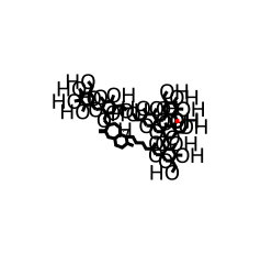 C=C1CC2CCC(C)[C@@](C)(CCCCC(=O)OC3OC(CO)C(O)C(O)C3OC3OC(CO)C(O)C(O)C3OC3OC(CO)C(O)C(O)C3OC3OC(CO)C(O)C(O)C3O)[C@@H]2CCC1OC1OC(CO)C(O)C(O)C1OC1OC(CO)C(O)C(O)C1O